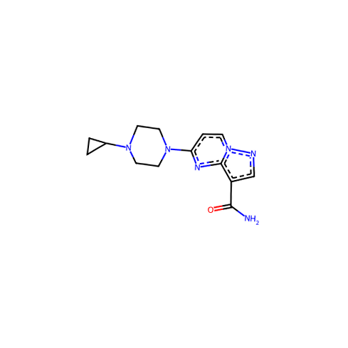 NC(=O)c1cnn2ccc(N3CCN(C4CC4)CC3)nc12